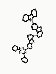 C1=CCC(C2=NC(c3ccccc3)=NC(c3ccc4sc5c(-c6cccc7sc8cc(-n9c%10ccccc%10c%10ccccc%109)ccc8c67)cccc5c4c3)N2)C=C1